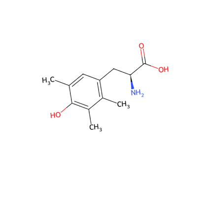 Cc1cc(C[C@H](N)C(=O)O)c(C)c(C)c1O